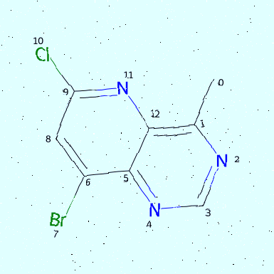 Cc1ncnc2c(Br)cc(Cl)nc12